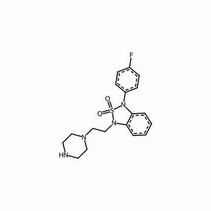 O=S1(=O)N(CCN2CCNCC2)c2ccccc2N1c1ccc(F)cc1